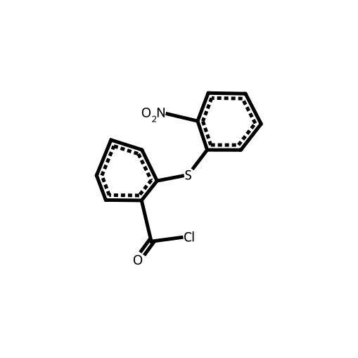 O=C(Cl)c1ccccc1Sc1ccccc1[N+](=O)[O-]